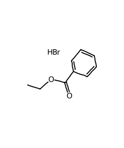 Br.CCOC(=O)c1ccccc1